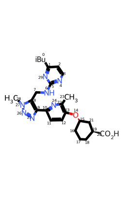 CCC(C)c1ccnc(NCc2c(-c3ccc(O[C@H]4CCC[C@H](C(=O)O)C4)c(C)n3)nnn2C)n1